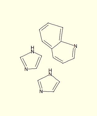 c1c[nH]cn1.c1c[nH]cn1.c1ccc2ncccc2c1